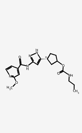 CCCNC(=O)OC1CC[C@@H](c2cc(NC(=O)c3ccnc(OC)c3)n[nH]2)C1